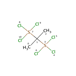 CC(C)(S(Cl)(Cl)Cl)S(Cl)(Cl)Cl